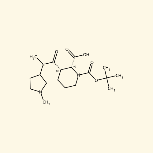 CN1CCC(N(C)C(=O)[C@H]2CCCN(C(=O)OC(C)(C)C)[C@H]2C(=O)O)C1